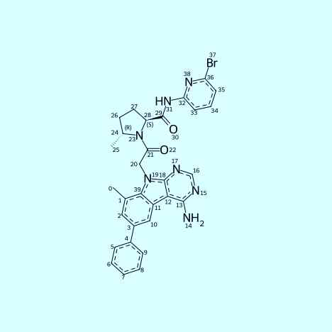 Cc1cc(-c2ccccc2)cc2c3c(N)ncnc3n(CC(=O)N3[C@H](C)CC[C@H]3C(=O)Nc3cccc(Br)n3)c12